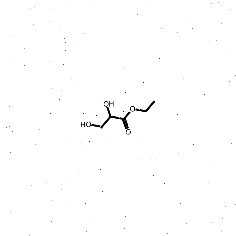 CCOC(=O)C(O)[CH]O